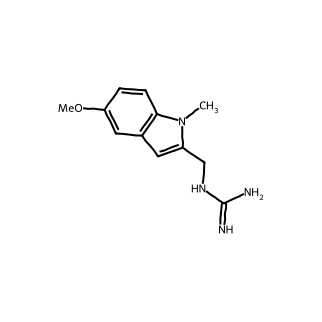 COc1ccc2c(c1)cc(CNC(=N)N)n2C